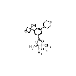 CC1(C)OB(c2cc(C3CCOCC3)cc(C3(O)COC3)c2)OC1(C)C